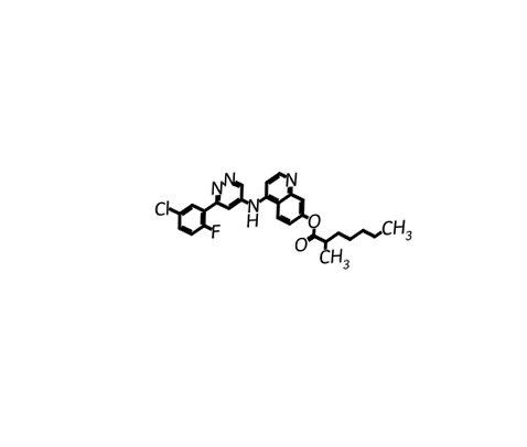 CCCCCC(C)C(=O)Oc1ccc2c(Nc3cnnc(-c4cc(Cl)ccc4F)c3)ccnc2c1